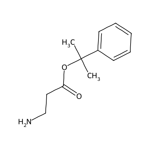 CC(C)(OC(=O)CCN)c1ccccc1